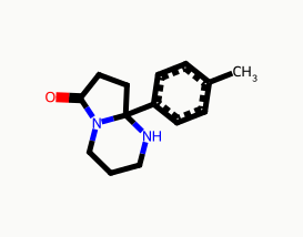 Cc1ccc(C23CCC(=O)N2CCCN3)cc1